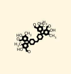 Cc1cc(C2(c3cc(C)c(O)c(C=O)c3)CCC(CC3CCC(c4cc(C)c(O)c(C=O)c4)(c4cc(C)c(O)c(C=O)c4)CC3)CC2)cc(C=O)c1O